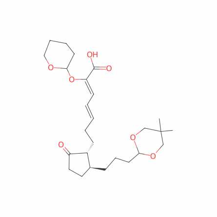 CC1(C)COC(CCC[C@H]2CCC(=O)[C@@H]2CCC=CC=C(OC2CCCCO2)C(=O)O)OC1